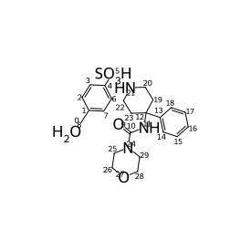 Cc1ccc(S(=O)(=O)O)cc1.O.O=C(NC1(c2ccccc2)CCNCC1)N1CCOCC1